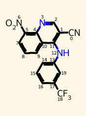 N#Cc1cnc2c([N+](=O)[O-])cccc2c1Nc1cccc(C(F)(F)F)c1